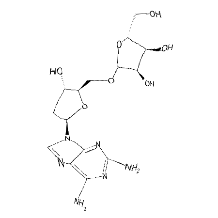 Nc1nc(N)c2ncn([C@H]3C[C@H](O)[C@@H](COC4O[C@H](CO)[C@@H](O)[C@H]4O)O3)c2n1